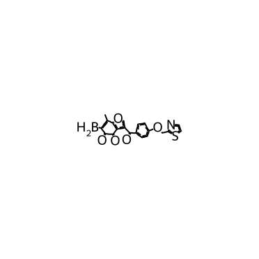 BC1=C(C)c2occ(C(=O)c3ccc(OCc4nccs4)cc3)c2C(=O)C1=O